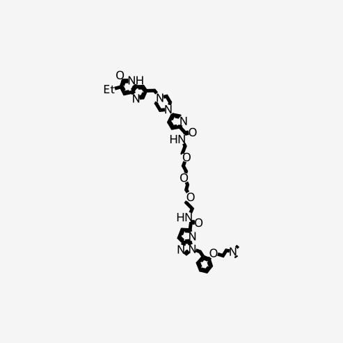 CCc1cc2ncc(CN3CCN(c4ccc(C(=O)NCCOCCOCCOCCNC(=O)c5ccc6ncn(Cc7ccccc7OCCN(C)C)c6n5)nc4)CC3)cc2[nH]c1=O